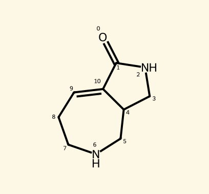 O=C1NCC2CNCCC=C12